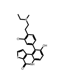 CCN(C)CCc1ccc(-c2c(O)ccc3[nH]c(=O)c4sccc4c23)cc1Cl